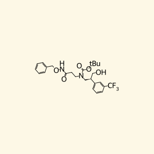 CC(C)(C)OC(=O)N(CCC(=O)NOCc1ccccc1)C[C@@H](CO)c1cccc(C(F)(F)F)c1